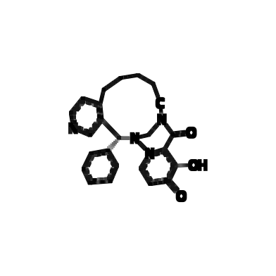 O=C1c2c(O)c(=O)ccn2N2CN1CCCCCc1ccncc1[C@H]2c1ccccc1